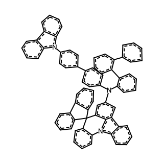 c1ccc(-c2ccccc2-c2ccccc2N(c2ccc(-c3ccc(-n4c5ccccc5c5ccccc54)cc3)cc2)c2cc3c4c(c2)c2ccccc2n4-c2ccccc2C32c3ccccc3-c3ccccc32)cc1